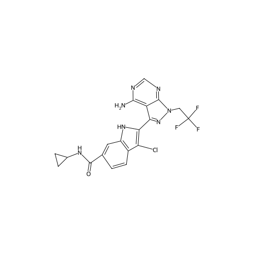 Nc1ncnc2c1c(-c1[nH]c3cc(C(=O)NC4CC4)ccc3c1Cl)nn2CC(F)(F)F